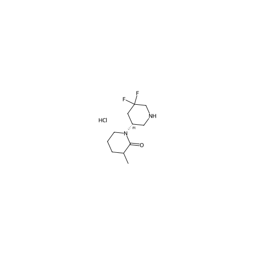 CC1CCCN([C@H]2CNCC(F)(F)C2)C1=O.Cl